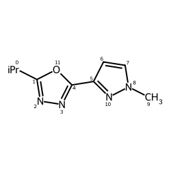 CC(C)c1nnc(-c2ccn(C)n2)o1